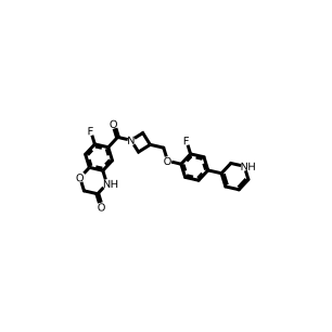 O=C1COc2cc(F)c(C(=O)N3CC(COc4ccc(C5=CC=CNC5)cc4F)C3)cc2N1